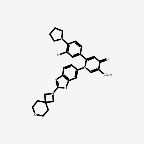 O=C(O)c1cn(-c2ccc3nc(N4CC5(CCOCC5)C4)oc3c2)c(-c2ccc(N3CCCC3)c(Br)c2)cc1=O